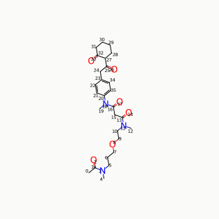 CC(=O)N(C)CCCOCCN(C)C(=O)CC(=O)N(C)c1ccc(CC(=O)C2CCCCC2=O)cc1